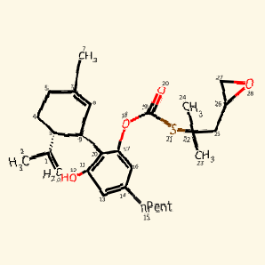 C=C(C)[C@@H]1CCC(C)=C[C@H]1c1c(O)cc(CCCCC)cc1OC(=O)SC(C)(C)CC1CO1